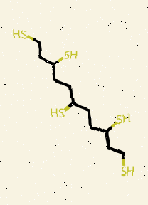 SCCC(S)CCC(S)CCC(S)CCS